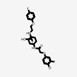 O=C(COc1ccc(Cl)c(F)c1)NC12CCC(NCCOc3ccc(F)cc3)(CC1)C(O)C2